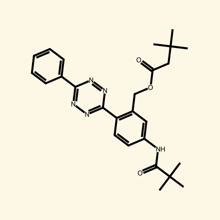 CC(C)(C)CC(=O)OCc1cc(NC(=O)C(C)(C)C)ccc1-c1nnc(-c2ccccc2)nn1